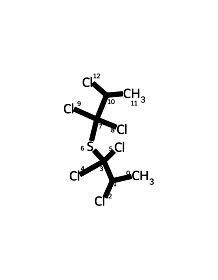 CC(Cl)C(Cl)(Cl)SC(Cl)(Cl)C(C)Cl